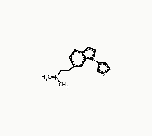 CN(C)CCc1ccc2ccn(-c3ccsc3)c2c1